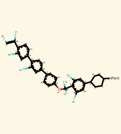 CCCCCC1CCC(c2cc(F)c(C(F)(F)Oc3ccc(-c4ccc(-c5ccc(/C(F)=C/F)c(F)c5)c(F)c4)cc3)c(F)c2)CC1